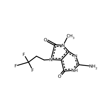 Cn1c(=O)n(CCC(F)(F)F)c2c(=O)[nH]c(N)nc21